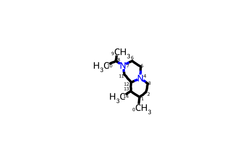 CC1CCN2CCN(C(C)C)CC2C1C